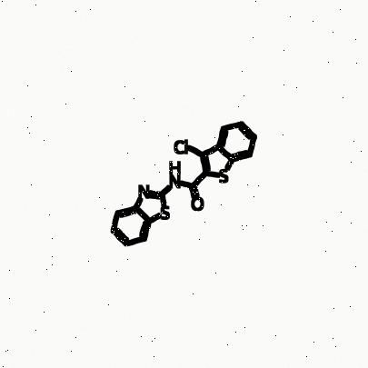 O=C(Nc1nc2ccccc2s1)c1sc2ccccc2c1Cl